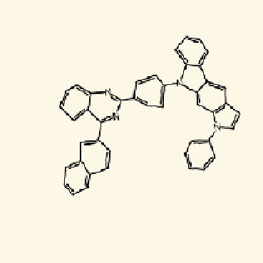 c1ccc(-n2ccc3cc4c5ccccc5n(-c5ccc(-c6nc(-c7ccc8ccccc8c7)c7ccccc7n6)cc5)c4cc32)cc1